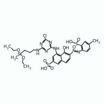 CCO[Si](C)(CCCNc1nc(Cl)nc(Nc2cc(S(=O)(=O)O)cc3ccc(/N=N/c4ccc(C)cc4S(=O)(=O)O)c(O)c23)n1)OCC